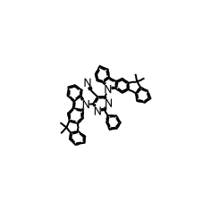 CC1(C)c2ccccc2-c2cc3c(cc21)c1ccccc1n3-c1nc(-c2ccccc2)nc(-n2c3ccccc3c3cc4c(cc32)-c2ccccc2C4(C)C)c1C#N